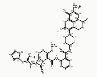 CC(=O)OCC1=C(C(=O)Oc2ccccc2C(=O)OC2CCN(c3c(F)cc4c(=O)c(C(=O)O)cn5c4c3CCC5C)CC2)N2C(=O)[C@@H](NC(=O)Cc3cccs3)[C@H]2SC1